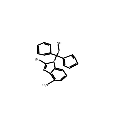 CC(C)(C)c1nc2c([N+](=O)[O-])cccc2n1C(O[SiH3])(c1ccccc1)c1ccccc1